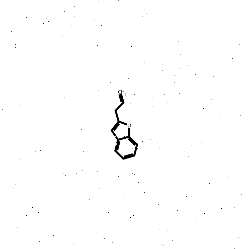 C=CCc1cc2ccccc2o1